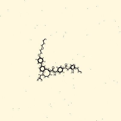 CCCCOCCOc1ccc(-c2ccc3c(c2)/C=C(/C(=O)Nc2ccc([S+]([O-])Cc4cnc(CCC)[nH]4)cc2)CCCN3CC(C)C)cc1